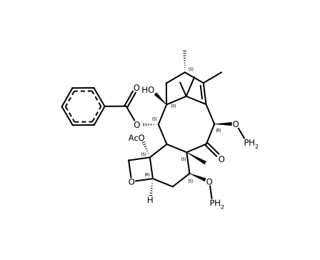 CC(=O)O[C@@]12CO[C@@H]1C[C@H](OP)[C@@]1(C)C(=O)[C@H](OP)C3=C(C)[C@@H](C)C[C@@](O)([C@@H](OC(=O)c4ccccc4)C12)C3(C)C